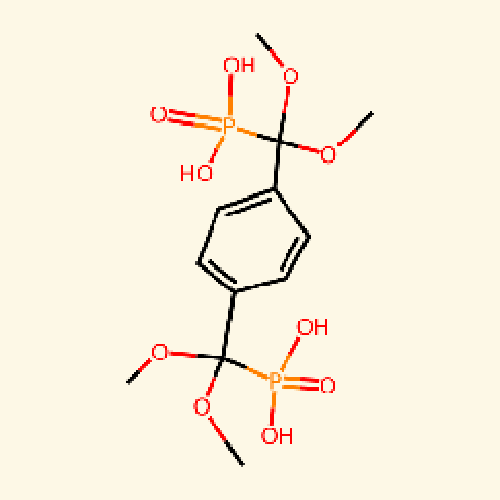 COC(OC)(c1ccc(C(OC)(OC)P(=O)(O)O)cc1)P(=O)(O)O